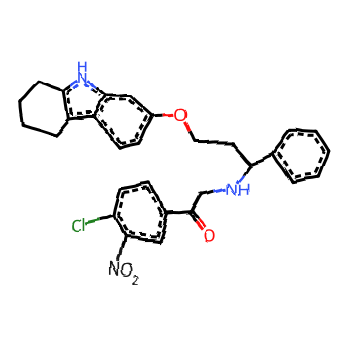 O=C(CNC(CCOc1ccc2c3c([nH]c2c1)CCCC3)c1ccccc1)c1ccc(Cl)c([N+](=O)[O-])c1